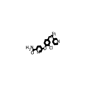 CCN(Cc1ccc(Oc2ccc(C(N)=O)nc2)c(Cl)c1)c1cccnc1